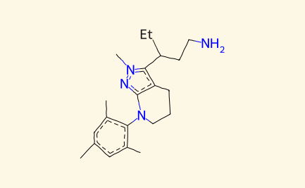 CCC(CCN)c1c2c(nn1C)N(c1c(C)cc(C)cc1C)CCC2